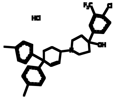 Cc1ccc(C2(c3ccc(C)cc3)C=CC(N3CCC(O)(c4ccc(Cl)c(C(F)(F)F)c4)CC3)CC2)cc1.Cl